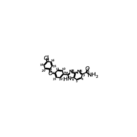 NC(=O)c1ccc2[nH]c(-c3ccc(Oc4ccc(Cl)cc4)cc3)nc2n1